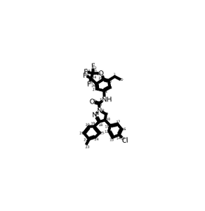 CCc1cc(NC(=O)N2CC(c3ccc(Cl)cc3)C(c3ccc(C)cc3)=N2)cc2c1OC(F)(F)C2(F)F